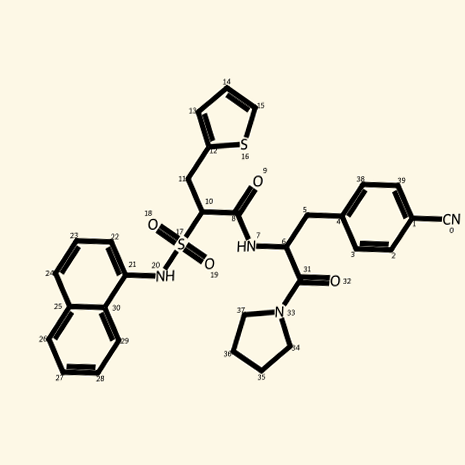 N#Cc1ccc(CC(NC(=O)C(Cc2cccs2)S(=O)(=O)Nc2cccc3ccccc23)C(=O)N2CCCC2)cc1